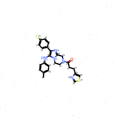 Cc1ccc(Nc2c(-c3ccc(F)cc3)nc3n2CCN(C(=O)CCc2cscn2)C3)cc1